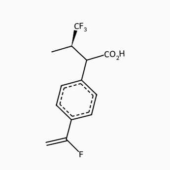 C=C(F)c1ccc(C(C(=O)O)[C@@H](C)C(F)(F)F)cc1